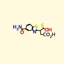 NC(=O)c1ccc2sc(C(CC(=O)O)C(O)=S)nc2c1